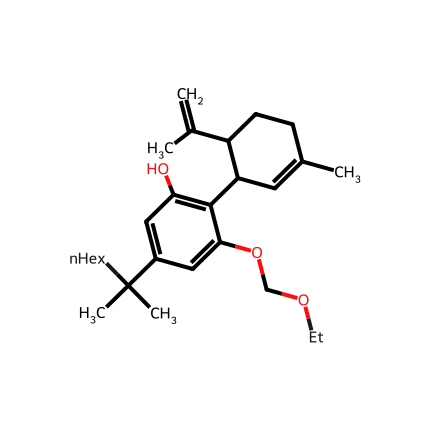 C=C(C)C1CCC(C)=CC1c1c(O)cc(C(C)(C)CCCCCC)cc1OCOCC